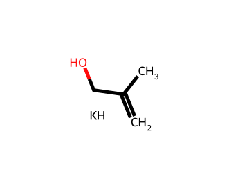 C=C(C)CO.[KH]